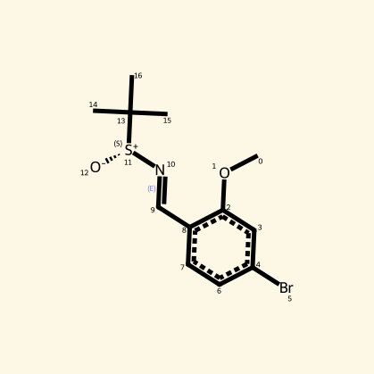 COc1cc(Br)ccc1/C=N/[S@+]([O-])C(C)(C)C